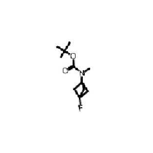 CN(C(=O)OC(C)(C)C)C12CC(F)(C1)C2